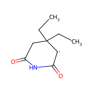 CCC1(CC)[C]C(=O)NC(=O)C1